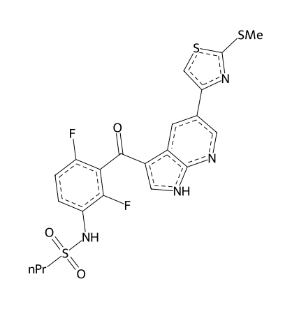 CCCS(=O)(=O)Nc1ccc(F)c(C(=O)c2c[nH]c3ncc(-c4csc(SC)n4)cc23)c1F